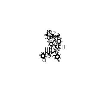 Cc1cccc(C[C@H](NC(=O)Nc2cccc(Cl)c2)C(=O)N[C@H](C(=O)N2CCC[C@H]2C(=O)N2CCCC[C@H]2C(=O)N[C@@H](C)C(=O)N2C[C@H](C)C[C@@]23CC3=O)[C@H](C)O)c1